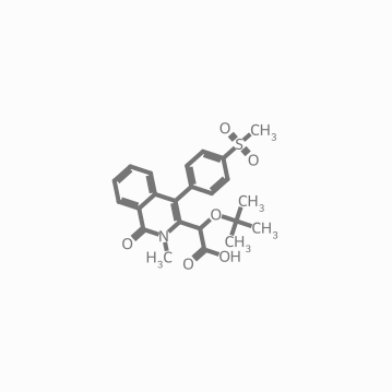 Cn1c(C(OC(C)(C)C)C(=O)O)c(-c2ccc(S(C)(=O)=O)cc2)c2ccccc2c1=O